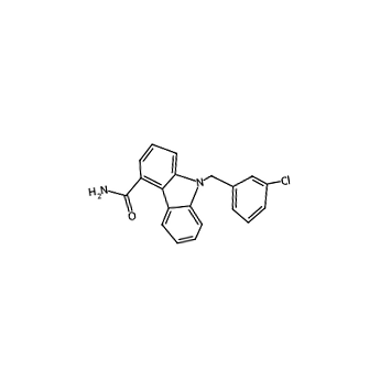 NC(=O)c1cccc2c1c1ccccc1n2Cc1cccc(Cl)c1